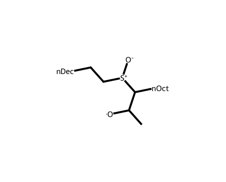 CCCCCCCCCCCC[S+]([O-])C(CCCCCCCC)C(C)[O]